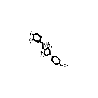 [2H]C1([2H])CC([C@H]2CC[C@H](CCC)CC2)CC([2H])([2H])C1CCc1ccc(F)c(F)c1